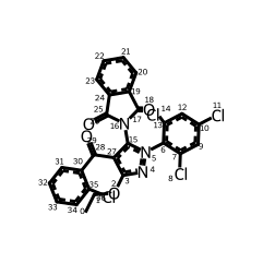 CCOc1nn(-c2c(Cl)cc(Cl)cc2Cl)c(N2C(=O)c3ccccc3C2=O)c1C(=O)c1ccccc1Cl